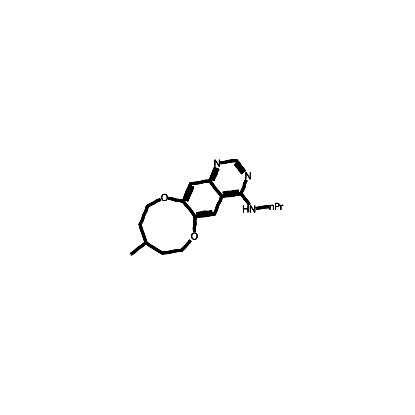 CCCNc1ncnc2cc3c(cc12)OCCC(C)CCO3